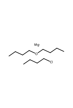 CCCCCl.CCCCOCCCC.[Mg]